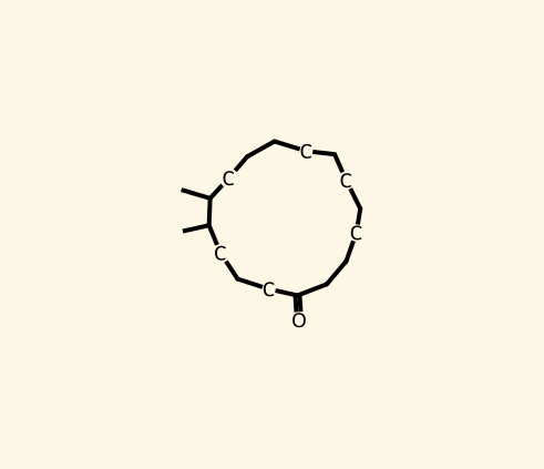 CC1CCCCCCCCCCC(=O)CCCC1C